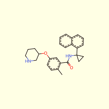 Cc1ccc(OC2CCCNC2)cc1C(=O)NC1(c2cccc3ccccc23)CC1